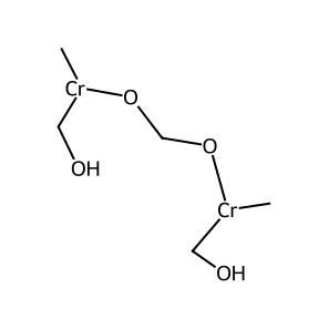 [CH3][Cr]([CH2]O)[O]C[O][Cr]([CH3])[CH2]O